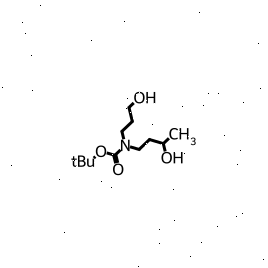 CC(O)CCN(CCCO)C(=O)OC(C)(C)C